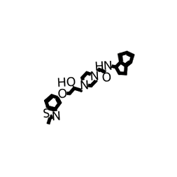 Cc1nc2cc(OC[C@H](O)CN3CCN(CC(=O)NC4CCc5ccccc54)CC3)ccc2s1